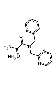 N.NC(=O)C(=O)N(Cc1ccccc1)Cc1ncccn1